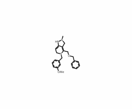 COc1cccc(CN2CC=C3NN(C)CC3=C2COCc2ccccc2)c1